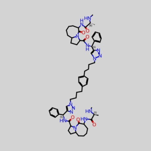 CN[C@@H](C)C(=O)NC1CCCCC2CCC(C(=O)N[C@@H](c3ccccc3)c3cn(CCCCc4ccc(CCCCn5cc([C@@H](NC(=O)C6CCC7CCCCC(NC(=O)[C@@H](C)NC)C(=O)N76)c6ccccc6)nn5)cc4)nn3)N2C1=O